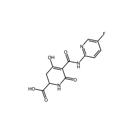 O=C(Nc1ccc(F)cn1)C1=C(O)CC(C(=O)O)NC1=O